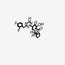 CC1C2CCC1N1C(=O)c3c(O)c(=O)c(C4=NNN=C(Cc5ccc(F)cc5F)S4)cn3C[C@H]21